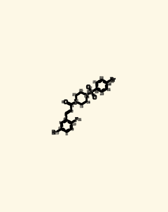 O=C(C=Cc1cc(Br)ccc1F)N1CCN(S(=O)(=O)c2ccc(Br)cc2)CC1